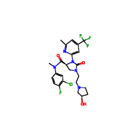 Cc1cc(C(F)(F)F)cc(N2C(=O)N(CCN3CC[C@@H](O)C3)C[C@H]2C(=O)N(C)c2ccc(F)c(Cl)c2)n1